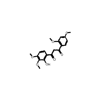 COc1ccc(C(=O)CC(=O)c2ccc(OC)c(OC)c2O)c(OC)c1